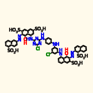 O=S(=O)(O)c1cc(Nc2nc(Cl)nc(Nc3ccc(Nc4cc(Cl)cc(Nc5cccc6cc(S(=O)(=O)O)c(N=Nc7ccc8ccccc8c7S(=O)(=O)O)c(O)c56)c4)cc3)n2)c2c(O)c(/N=N/c3ccc4c(S(=O)(=O)O)cccc4c3)c(S(=O)(=O)O)cc2c1